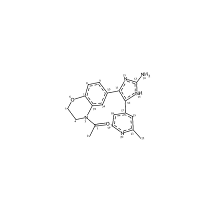 CC(=O)N1CCOc2ccc(-c3nc(N)[nH]c3-c3ccnc(C)c3)cc21